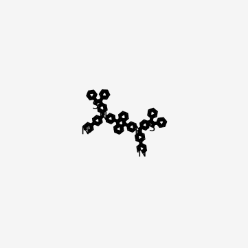 c1ccc(-c2sc3cc(N(c4ccc(-c5ccncc5)cc4)c4ccc(-c5c6ccccc6c(-c6ccc(N(c7ccc(-c8ccncc8)cc7)c7ccc8c(-c9ccccc9)c(-c9ccccc9)sc8c7)cc6)c6ccccc56)cc4)ccc3c2-c2ccccc2)cc1